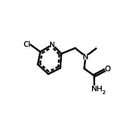 CN(CC(N)=O)Cc1cccc(Cl)n1